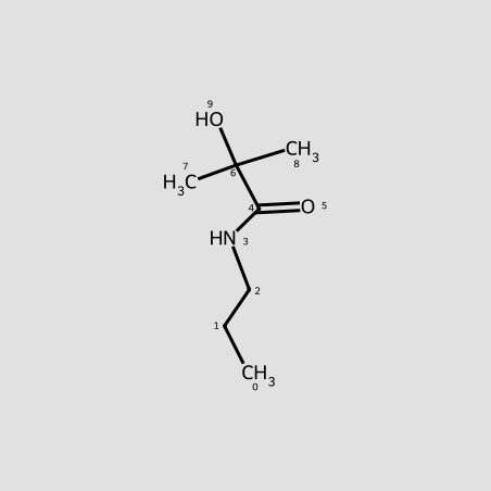 CCCNC(=O)C(C)(C)O